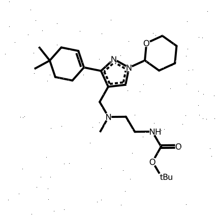 CN(CCNC(=O)OC(C)(C)C)Cc1cn(C2CCCCO2)nc1C1=CCC(C)(C)CC1